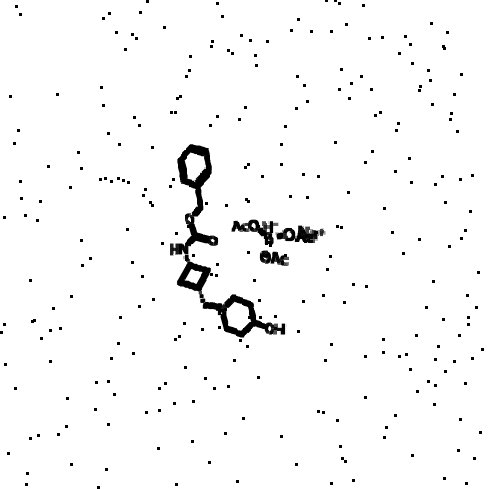 CC(=O)O[BH-](OC(C)=O)OC(C)=O.O=C(N[C@H]1C[C@@H](CN2CCC(O)CC2)C1)OCc1ccccc1.[Na+]